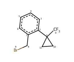 FC(F)(F)C1(c2ccccc2CBr)CC1